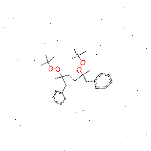 CC(C)(C)OOC(C)(CCC(C)(Cc1ccccc1)OOC(C)(C)C)Cc1ccccc1